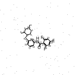 CC1CN(C)CCC1Sc1cccc(NC(=O)c2c(F)cc(F)cc2F)n1